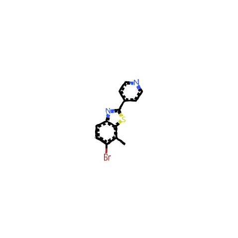 Cc1c(Br)ccc2nc(-c3ccncc3)sc12